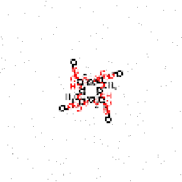 COc1cc(O)c2cc1C(c1ccc(C(=O)OCOCc3ccccc3)cc1)c1cc(c(OC)cc1O)C(c1ccc(C(=O)OCOCc3ccccc3)cc1)c1cc(c(OC)cc1O)C(c1ccc(C(=O)OCOCc3ccccc3)cc1)c1cc(c(OC)cc1O)C2c1ccc(C(=O)OCOCc2ccccc2)cc1